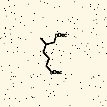 CCCCCCCCCCCCCC(C)CCCCCCCCCCC